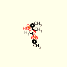 Cc1ccc(S(=O)(=O)OCC(C)OC(C)Cc2cc(C)ccc2S(=O)(=O)O)cc1